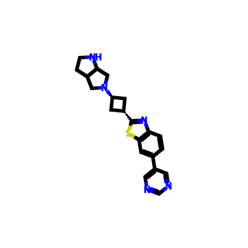 c1ncc(-c2ccc3nc([C@H]4C[C@H](N5CC6CCNC6C5)C4)sc3c2)cn1